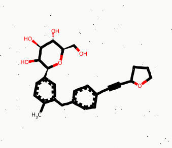 Cc1ccc([C@@H]2O[C@H](CO)[C@@H](O)[C@H](O)C2O)cc1Cc1ccc(C#CC2CCCO2)cc1